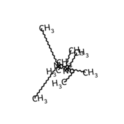 CCCCCCCCC1=C(c2cc(C)cc(C)c2)[N+](=[N-])C(c2cc(CCCCCC)cc(CCCCCC)c2)=C1CCCCCCCC.CCCCCCCCCCCCCCCCCCCC[CH2][Ni][CH2]CCCCCCCCCCCCCCCCCCCC